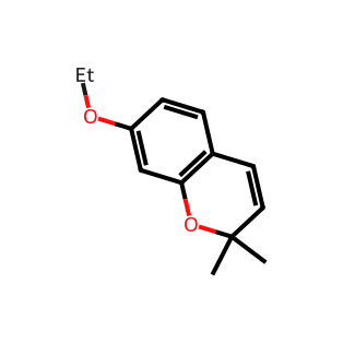 CCOc1ccc2c(c1)OC(C)(C)C=C2